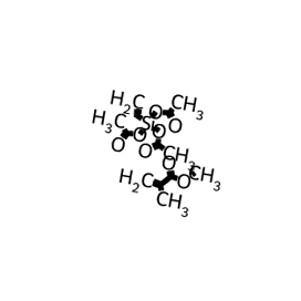 C=C(C)C(=O)OC.C=C[Si](OC(C)=O)(OC(C)=O)OC(C)=O